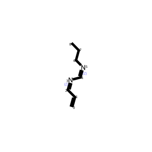 C=C/C=N\C=N/CCC